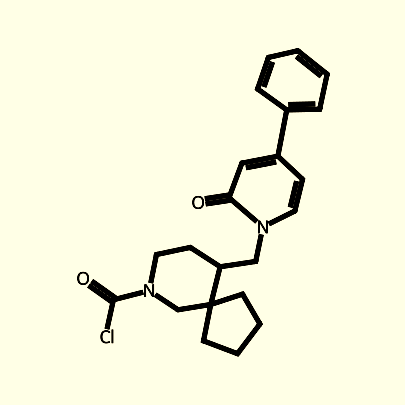 O=C(Cl)N1CCC(Cn2ccc(-c3ccccc3)cc2=O)C2(CCCC2)C1